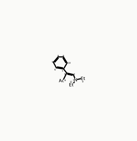 CCN(C=C(C(C)=O)c1ccccc1)CC